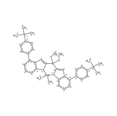 CCC1(CC)C2=Cc3c(-c4ccc([Si](C)(C)C)cc4)cccc3[CH]2[Hf]([CH3])([CH3])[CH]2C1=Cc1c(-c3ccc([Si](C)(C)C)cc3)cccc12